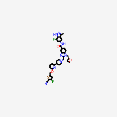 Cc1n[nH]c2c(F)cc(NC(=O)c3ccc4c(c3)nc(CN3CCC(c5cccc(OCc6cc(F)c(C#N)s6)n5)CC3)n4C[C@@H]3CCO3)cc12